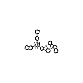 C1=CC2c3ccccc3N(c3cccc4c3sc3cc(-c5nc(-c6ccc(-c7ccccc7)cc6)nc(-c6ccc7ccccc7c6)n5)ccc34)C2c2ccccc21